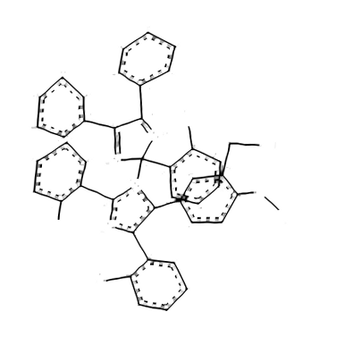 COc1ccc(-c2c(-c3ccccc3Cl)nc(-c3ccccc3Cl)n2C2(c3ccccc3Cl)N=C(c3ccccc3)C(c3ccccc3)=N2)cc1CO